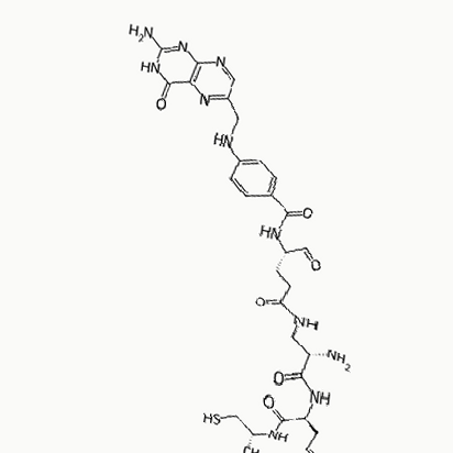 C[C@H](CS)NC(=O)[C@H](CC=O)NC(=O)[C@@H](N)CNC(=O)CC[C@@H](C=O)NC(=O)c1ccc(NCc2cnc3nc(N)[nH]c(=O)c3n2)cc1